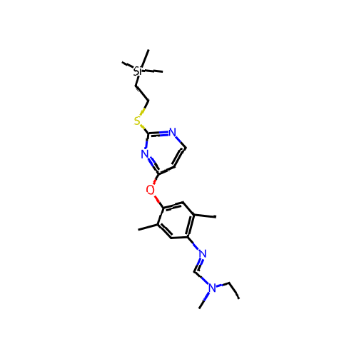 CCN(C)C=Nc1cc(C)c(Oc2ccnc(SCC[Si](C)(C)C)n2)cc1C